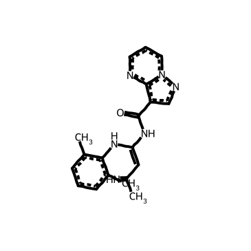 CC(=N)/C=C(/NC(=O)c1cnn2cccnc12)Nc1c(C)cccc1C